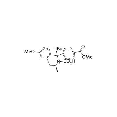 COC(=O)c1ccc([C@@]2(C(C)(C)C)c3ccc(OC)cc3C[C@H](C)N2C(=O)O)cc1